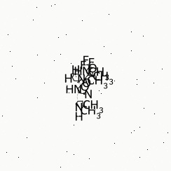 CC1(C)C[C@@H](C[C@@H](C#N)NC(=O)[C@@H]2C[C@H]3C[C@H]3CN2C(=O)[C@@H](NC(=O)C(F)(F)F)C(C)(C)C)CN1